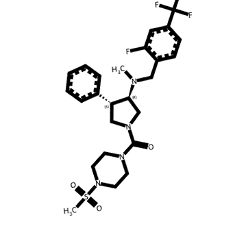 CN(Cc1ccc(C(F)(F)F)cc1F)[C@H]1CN(C(=O)N2CCN(S(C)(=O)=O)CC2)C[C@@H]1c1ccccc1